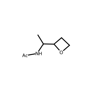 C[C](NC(C)=O)C1CCO1